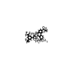 COc1ccc(C(=O)C(F)(F)F)cc1C1=C(CN2C(=O)O[C@H](c3cc(C(F)(F)F)cc(C(F)(F)F)c3)[C@@H]2C)CC(C)(C)CC1